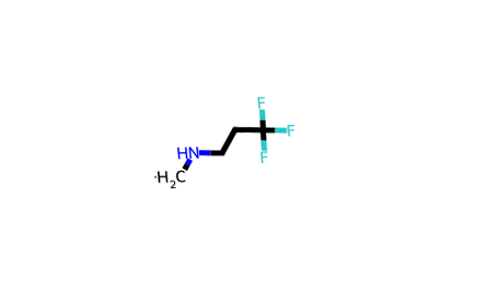 [CH2]NCCC(F)(F)F